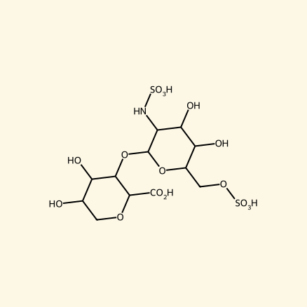 O=C(O)C1OCC(O)C(O)C1OC1OC(COS(=O)(=O)O)C(O)C(O)C1NS(=O)(=O)O